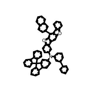 c1ccc(-c2cccc(N(c3ccc4c(c3)C3(c5ccccc5-c5ccccc53)c3ccccc3-4)c3ccc4oc5c(-c6ccc7ccccc7c6)c6c(cc5c4c3)oc3ccccc36)c2)cc1